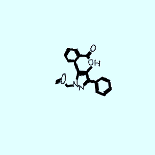 COCn1nc(-c2ccccc2)c(C)c1-c1ccccc1C(=O)O